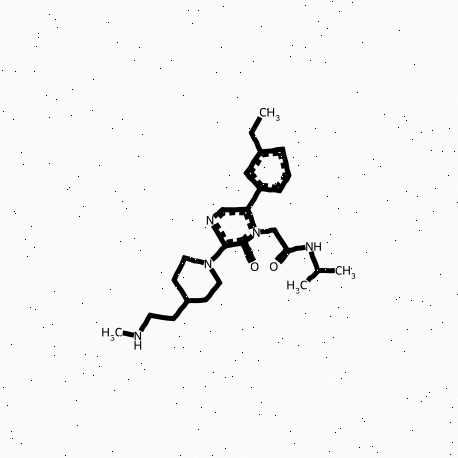 CCc1cccc(-c2cnc(N3CCC(CCNC)CC3)c(=O)n2CC(=O)NC(C)C)c1